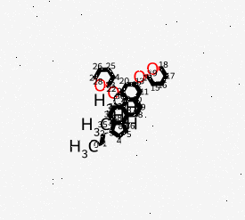 CCC[C@H]1CC[C@H]2[C@@H]3CC=C4C[C@@H](OC5CCCCO5)C[C@H](OC5CCCCO5)[C@]4(C)[C@H]3CC[C@]12C